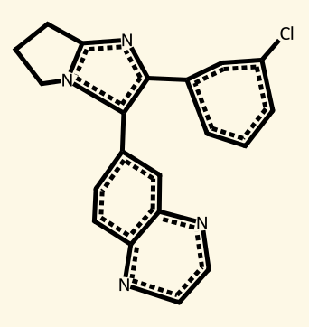 Clc1cccc(-c2nc3n(c2-c2ccc4nccnc4c2)CCC3)c1